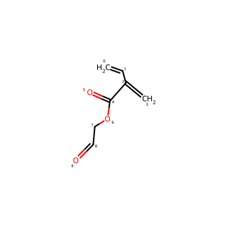 C=CC(=C)C(=O)OCC=O